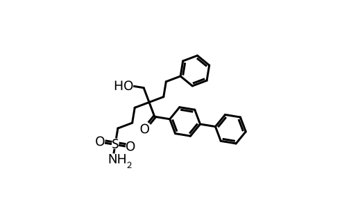 NS(=O)(=O)CCCC(CO)(CCc1ccccc1)C(=O)c1ccc(-c2ccccc2)cc1